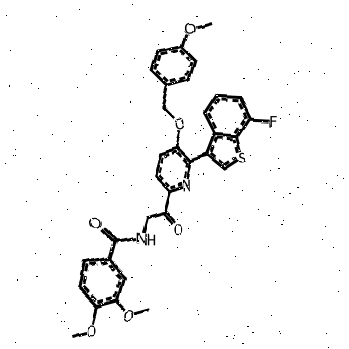 COc1ccc(COc2ccc(C(=O)CNC(=O)c3ccc(OC)c(OC)c3)nc2-c2csc3c(F)cccc23)cc1